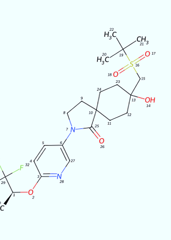 C[C@H](Oc1ccc(N2CCC3(CCC(O)(CS(=O)(=O)C(C)(C)C)CC3)C2=O)cn1)C(F)(F)F